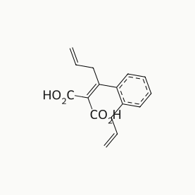 C=CCC(=C(C(=O)O)C(=O)O)c1ccccc1CC=C